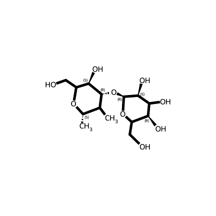 CC1[C@H](C)OC(CO)[C@@H](O)[C@@H]1O[C@@H]1OC(CO)[C@H](O)C(O)[C@@H]1O